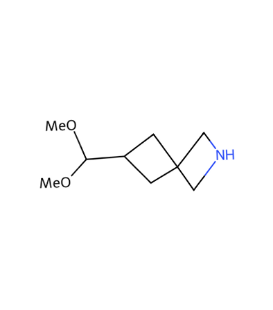 COC(OC)C1CC2(CNC2)C1